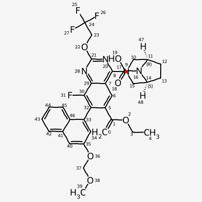 C=C(OCC)c1cc2c(N3C[C@H]4CC[C@@H](C3)N4C(=O)O)nc(OCC(F)(F)F)nc2c(F)c1-c1cc(OCOC)cc2ccccc12